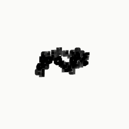 C[C@H]1CC2(CC[C@@H]1Nc1ccc3c(C4CCC(=O)NC4=O)nn(C)c3c1)CN(c1ncc(Cl)c(Nc3ccc4c(c3)c3c(c(=O)n4C)OCC(F)(F)[C@H](C4CC4)N3)n1)C2